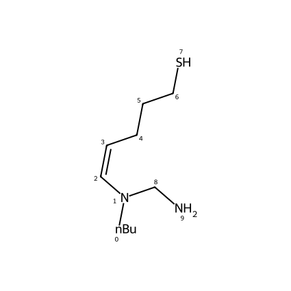 CCCCN(/C=C\CCCS)CN